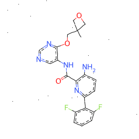 CC1(COc2ncncc2NC(=O)c2nc(-c3c(F)cccc3F)ccc2N)COC1